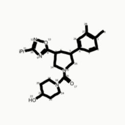 Cc1ccc(C2CC(c3nc(C(C)C)no3)CN(C(=O)N3CCC(O)CC3)C2)cc1C